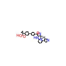 Cc1noc(-c2ccc(-c3ccc(C4(C(=O)O)CC4)cc3)cc2)c1Nc1cccc(-c2ccncc2)n1